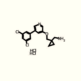 Cl.Cl.NCC1(COc2cncc(-c3cc(Cl)cc(Cl)c3)c2)CC1